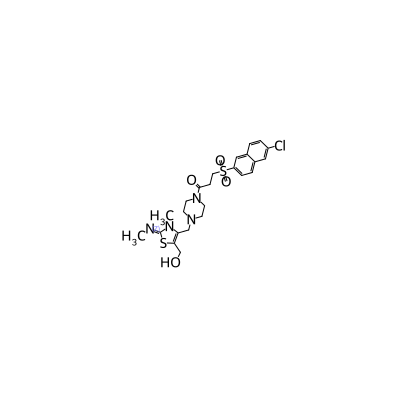 C/N=c1\sc(CO)c(CN2CCN(C(=O)CCS(=O)(=O)c3ccc4cc(Cl)ccc4c3)CC2)n1C